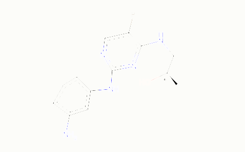 C[C@@H](O)[C@@H](C)Nc1nc(Nc2cccc(N)c2)ncc1Br